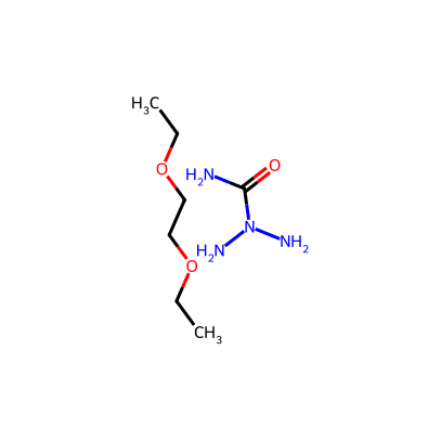 CCOCCOCC.NC(=O)N(N)N